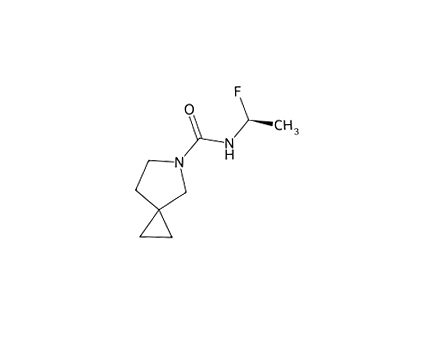 C[C@H](F)NC(=O)N1CCC2(CC2)C1